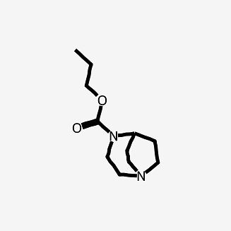 CCCOC(=O)N1CCN2CCC1CC2